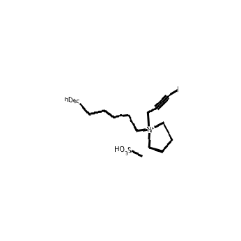 CCCCCCCCCCCCCCC[N+]1(CC#CI)CCCC1.CS(=O)(=O)O